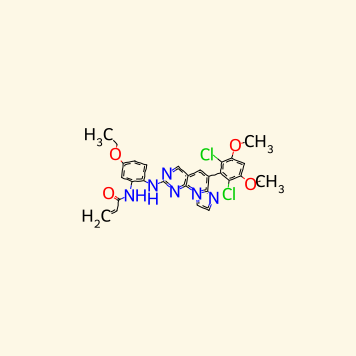 C=CC(=O)Nc1cc(OCC)ccc1Nc1ncc2cc(-c3c(Cl)c(OC)cc(OC)c3Cl)c3nccn3c2n1